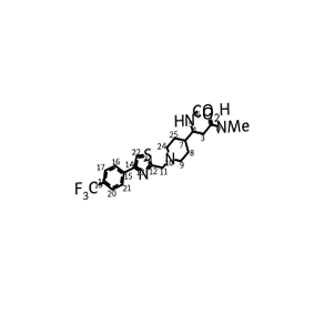 CNC(=O)CC(NC(=O)O)C1CCN(Cc2nc(-c3ccc(C(F)(F)F)cc3)cs2)CC1